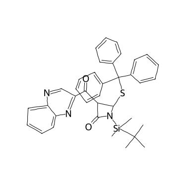 CC(C)(C)[Si](C)(C)N1C(=O)C(C(=O)c2cnc3ccccc3n2)C1SC(c1ccccc1)(c1ccccc1)c1ccccc1